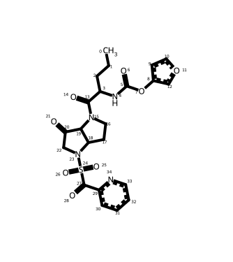 CCCC(NC(=O)Oc1ccoc1)C(=O)N1CCC2C1C(=O)CN2S(=O)(=O)C(=O)c1ccccn1